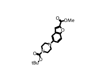 COC(=O)c1cc2cc(N3CCN(C(=O)OC(C)(C)C)CC3)ccc2o1